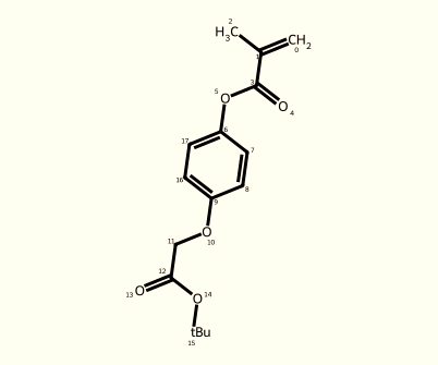 C=C(C)C(=O)Oc1ccc(OCC(=O)OC(C)(C)C)cc1